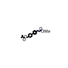 C=C(C)C(=O)OCC1CCC(c2ccc(/C=C/C(=O)OC)cc2)CC1